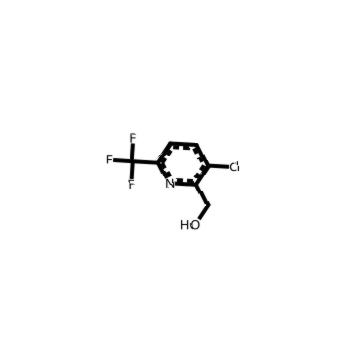 OCc1nc(C(F)(F)F)ccc1Cl